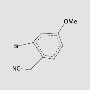 COc1ccc(CC#N)c(Br)c1